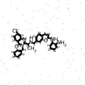 CC(NCc1ccc(/C=C\C(=O)Nc2ccccc2N)cc1)c1nc2cc(Cl)ccc2c(=O)n1Cc1ccccc1